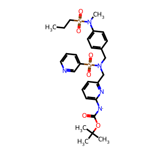 CCCS(=O)(=O)N(C)c1ccc(CN(Cc2cccc([N]C(=O)OC(C)(C)C)n2)S(=O)(=O)c2cccnc2)cc1